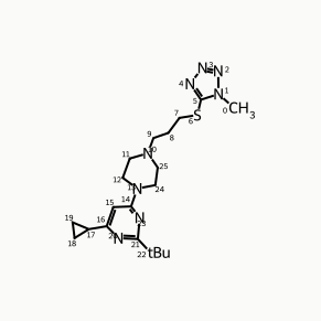 Cn1nnnc1SCCCN1CCN(c2cc(C3CC3)nc(C(C)(C)C)n2)CC1